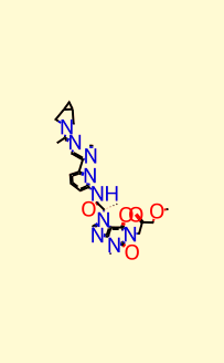 C=N/C(=C\N=C(/C)N1CC2CC2C1)c1cccc(NC(=O)[C@H](C)n2cnc3c2c(=O)n(CC(=O)COC)c(=O)n3C)n1